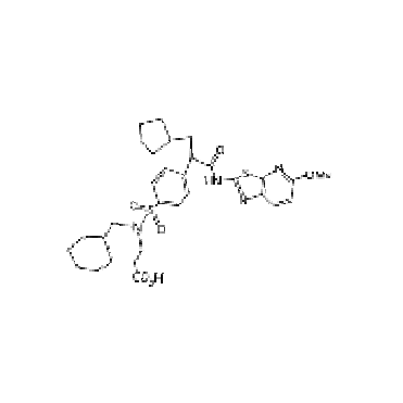 COc1ccc2nc(NC(=O)C(CC3CCCC3)c3ccc(S(=O)(=O)N(CCC(=O)O)CC4CCCCC4)cc3)sc2n1